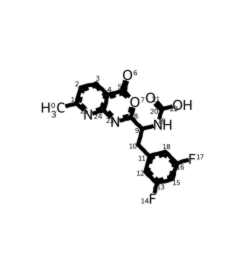 Cc1ccc2c(=O)oc(C(Cc3cc(F)cc(F)c3)NC(=O)O)nc2n1